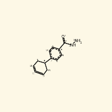 NNC(=O)c1ccc(C2CC=C=CC2)cc1